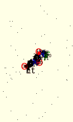 CCC1C(=O)c2ccc(N3COc4cc(C(=O)N5CCC(F)(F)C5)ccc43)cc21